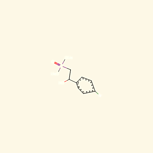 COP(=O)(CC(O)c1ccc(Br)cc1)OC